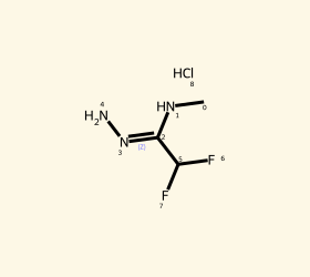 CN/C(=N\N)C(F)F.Cl